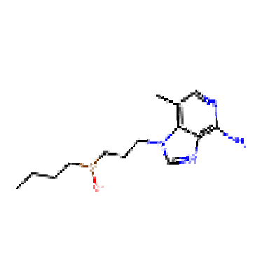 CCCC[S+]([O-])CCCn1cnc2c(N)ncc(C)c21